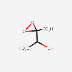 O=C(O)C(O)C1(C(=O)O)OO1